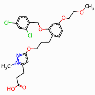 COCCOc1ccc(CCCOc2cc(CCC(=O)O)n(C)n2)c(OCc2ccc(Cl)cc2Cl)c1